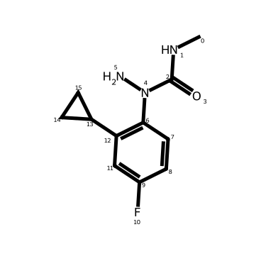 CNC(=O)N(N)c1ccc(F)cc1C1CC1